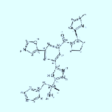 Cc1csc([C@H]2CCCN2C(=O)c2cc(-c3cnco3)cc(-c3nnc([C@](C)(N)Cc4ccccc4)o3)c2)n1